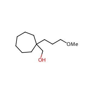 COCCCC1(CO)CCCCCC1